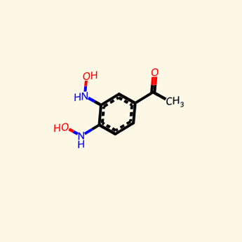 CC(=O)c1ccc(NO)c(NO)c1